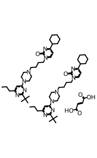 CCCc1cc(N2CCN(CCCCn3ccc(C4CCCCC4)nc3=O)CC2)nc(C(C)(C)C)n1.CCCc1cc(N2CCN(CCCCn3ccc(C4CCCCC4)nc3=O)CC2)nc(C(C)(C)C)n1.O=C(O)/C=C/C(=O)O